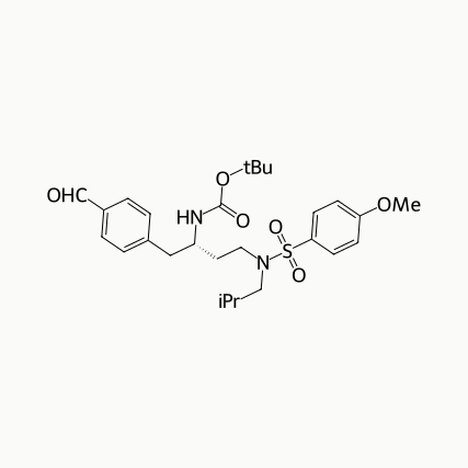 COc1ccc(S(=O)(=O)N(CC[C@H](Cc2ccc(C=O)cc2)NC(=O)OC(C)(C)C)CC(C)C)cc1